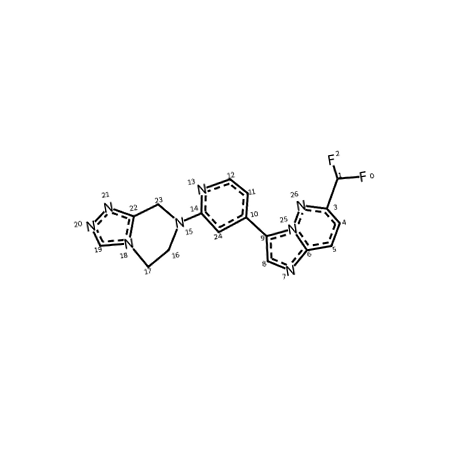 FC(F)c1ccc2ncc(-c3ccnc(N4CCn5cnnc5C4)c3)n2n1